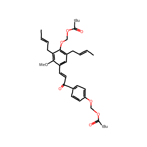 C/C=C/Cc1cc(/C=C/C(=O)c2ccc(OCOC(=O)C(C)(C)C)cc2)c(OC)c(C/C=C/C)c1OCOC(=O)C(C)(C)C